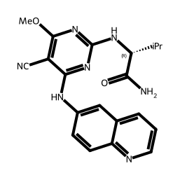 COc1nc(N[C@@H](C(N)=O)C(C)C)nc(Nc2ccc3ncccc3c2)c1C#N